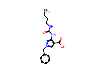 CCCCNC(=O)Nc1nn(Cc2ccccc2)cc1C(=O)O